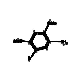 Bc1cc(Br)c(OC)cc1OC